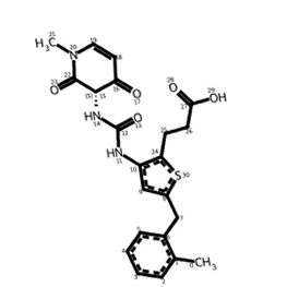 Cc1ccccc1Cc1cc(NC(=O)N[C@H]2C(=O)C=CN(C)C2=O)c(CCC(=O)O)s1